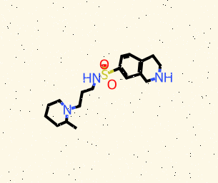 CC1CCCCN1CCCNS(=O)(=O)c1ccc2c(c1)CNCC2